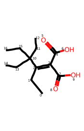 CCC(=C(C(=O)O)C(=O)O)C(CC)(CC)CC